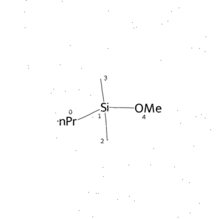 [CH2]C[CH][Si](C)(C)OC